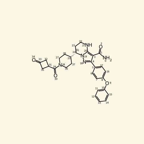 NC(=O)c1c(-c2ccc(Oc3ccccc3)cc2)nn2c1NCC[C@H]2C1CCN(C(=O)C2CC(=O)C2)CC1